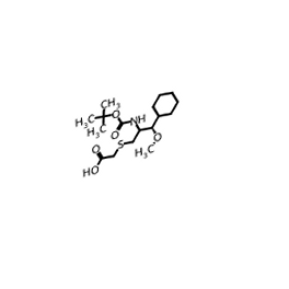 CO[C@H](C1CCCCC1)C(CSCC(=O)O)NC(=O)OC(C)(C)C